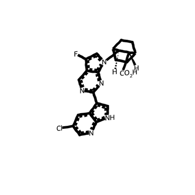 O=C(O)[C@H]1C2CCC(CC2)[C@@H]1n1cc(F)c2cnc(-c3c[nH]c4ncc(Cl)cc34)nc21